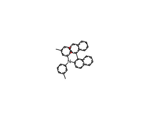 Cc1cccc(N(c2cccc(C)c2)c2ccc3ccccc3c2-c2cccc3ccccc23)c1